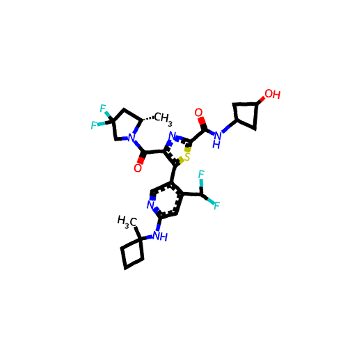 C[C@H]1CC(F)(F)CN1C(=O)c1nc(C(=O)NC2CC(O)C2)sc1-c1cnc(NC2(C)CCC2)cc1C(F)F